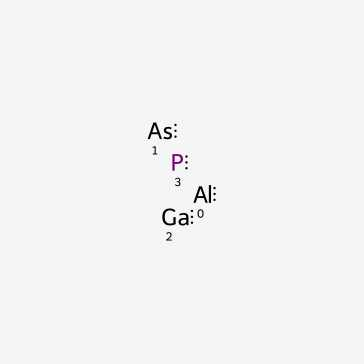 [Al].[As].[Ga].[P]